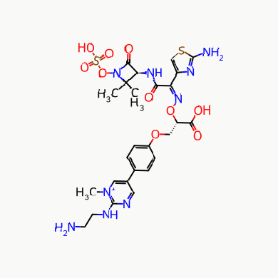 C[n+]1cc(-c2ccc(OC[C@H](O/N=C(\C(=O)N[C@@H]3C(=O)N(OS(=O)(=O)O)C3(C)C)c3csc(N)n3)C(=O)O)cc2)cnc1NCCN